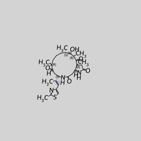 C/C(=C\c1csc(C)n1)[C@@H]1C[C@@H]2O[C@]2(C)CCC[C@H](C)[C@H](O)[C@@H](C)C(=O)[C@]2(C)CC(=O)N[C@H]2CC(=O)N1